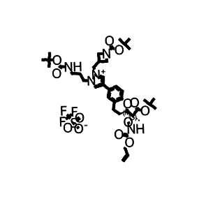 C=CCOC(=O)NO[C@](C)(C(=O)OC(C)(C)C)[C@H]1CCc2cc(-c3cn(CCCNC(=O)OC(C)(C)C)[n+](CC4CN(C(=O)OC(C)(C)C)C4)c3)ccc2O1.O=S(=O)([O-])C(F)(F)F